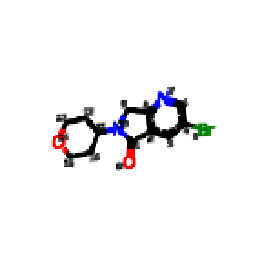 O=C1c2cc(Br)cnc2CN1C1CCOCC1